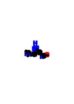 COc1ccnc(-c2ccc(-c3nn[nH]n3)c(-c3ccc(CN4CC=C(C)N=C4C)cc3)c2)c1